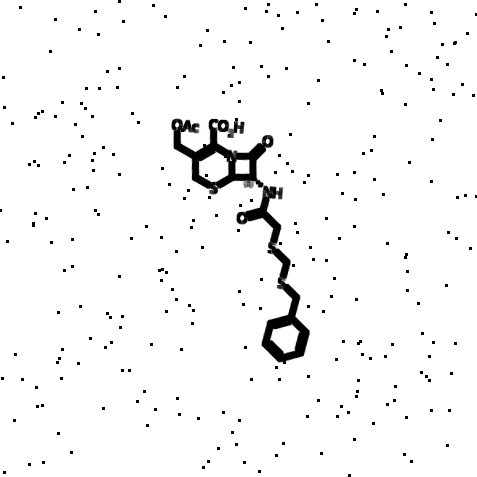 CC(=O)OCC1=C(C(=O)O)N2C(=O)[C@H](NC(=O)CSCSCc3ccccc3)C2SC1